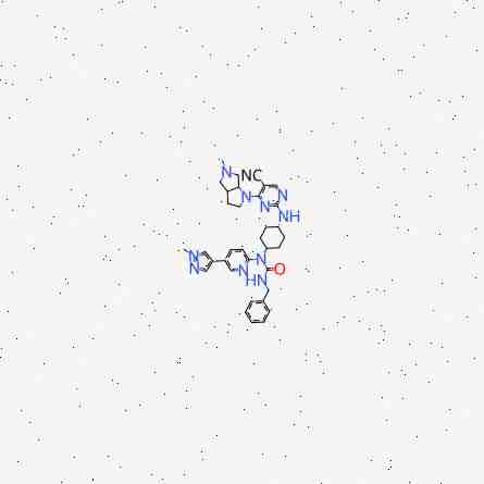 CN1CC2CCN(c3nc(N[C@H]4CC[C@H](N(C(=O)NCc5ccccc5)c5ccc(-c6cnn(C)c6)cn5)CC4)ncc3C#N)C2C1